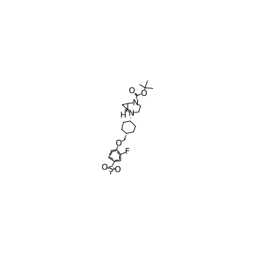 CC(C)(C)OC(=O)N1CCN([C@H]2CC[C@H](COc3ccc(S(C)(=O)=O)cc3F)CC2)[C@@H]2CC21